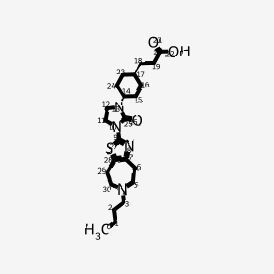 CCCCN1CCc2nc(N3CCN([C@H]4CC[C@H](CCC(=O)O)CC4)C3=O)sc2CC1